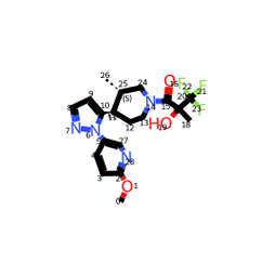 COc1ccc(-n2nccc2[C@H]2CCN(C(=O)C(C)(O)C(F)(F)F)C[C@H]2C)cn1